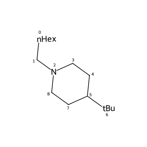 CCCCCCCN1CCC(C(C)(C)C)CC1